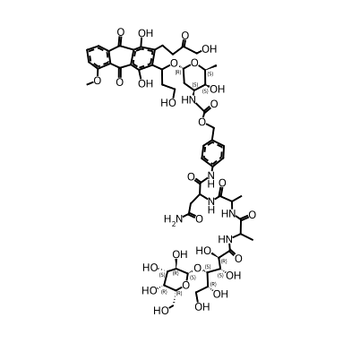 COc1cccc2c1C(=O)c1c(O)c(C(CCO)O[C@H]3C[C@H](NC(=O)OCc4ccc(NC(=O)C(CC(N)=O)NC(=O)C(C)NC(=O)C(C)NC(=O)[C@H](O)[C@H](O)[C@@H](O[C@@H]5O[C@H](CO)[C@H](O)[C@H](O)[C@H]5O)[C@H](O)CO)cc4)[C@H](O)[C@H](C)O3)c(CCC(=O)CO)c(O)c1C2=O